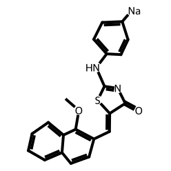 COc1c(C=C2SC(Nc3cc[c]([Na])cc3)=NC2=O)ccc2ccccc12